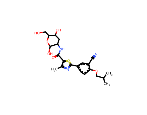 Cc1nc(-c2ccc(OCC(C)C)c(C#N)c2)sc1C(=O)NC1CC(O)C(CO)OC1O